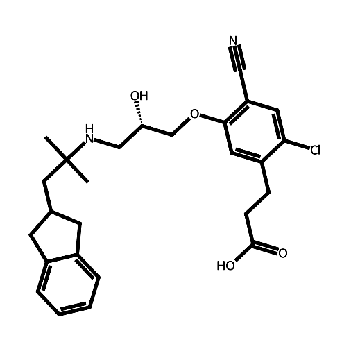 CC(C)(CC1Cc2ccccc2C1)NC[C@H](O)COc1cc(CCC(=O)O)c(Cl)cc1C#N